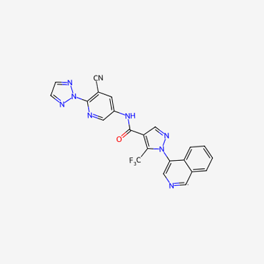 N#Cc1cc(NC(=O)c2cnn(-c3cn[c]c4ccccc34)c2C(F)(F)F)cnc1-n1nccn1